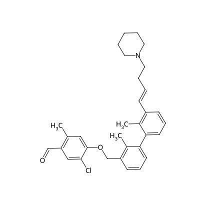 Cc1cc(OCc2cccc(-c3cccc(/C=C/CCN4CCCCC4)c3C)c2C)c(Cl)cc1C=O